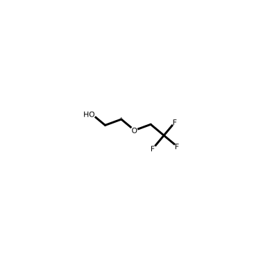 OC[CH]OCC(F)(F)F